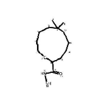 CC1(C)CCCCCC(C(=O)NS)CCCC1